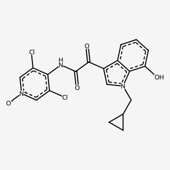 O=C(Nc1c(Cl)c[n+]([O-])cc1Cl)C(=O)c1cn(CC2CC2)c2c(O)cccc12